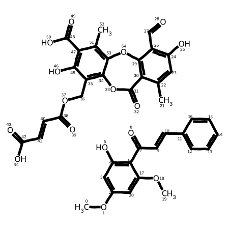 COc1cc(O)c(C(=O)C=Cc2ccccc2)c(OC)c1.Cc1cc(O)c(C=O)c2c1C(=O)Oc1c(COC(=O)C=CC(=O)O)c(O)c(C(=O)O)c(C)c1O2